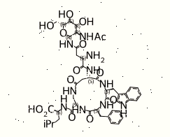 CC(=O)N[C@@H]1[C@@H](O)[C@H](O)[C@@H](CO)O[C@H]1NC(=O)C[C@H](N)C(=O)N[C@H]1CC(=O)NC[C@@H](C(=O)N[C@@H](CC(C)C)C(=O)O)NC(=O)[C@H](Cc2ccccc2)NC(=O)[C@H](Cc2c[nH]c3ccccc23)NC1=O